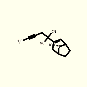 CC#CCC(C#N)(C#N)C1=CC2CCC(C1)N2C(=O)O